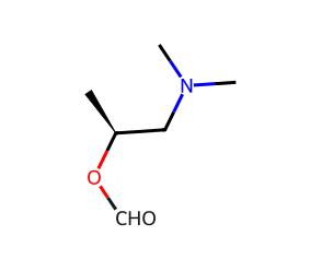 C[C@@H](CN(C)C)OC=O